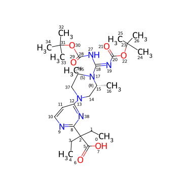 CCC(CC)(C(=O)O)c1nccc(N2C[C@@H](C)N(C(=NC(=O)OC(C)(C)C)NC(=O)OC(C)(C)C)[C@@H](C)C2)n1